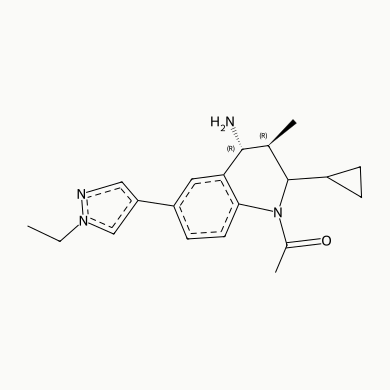 CCn1cc(-c2ccc3c(c2)[C@H](N)[C@@H](C)C(C2CC2)N3C(C)=O)cn1